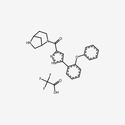 O=C(O)C(F)(F)F.O=C(c1cc(-c2ccccc2Oc2ccccc2)[nH]n1)N1CCC2CC1CN2